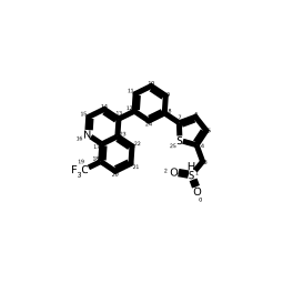 O=[SH](=O)Cc1ccc(-c2cccc(-c3ccnc4c(C(F)(F)F)cccc34)c2)s1